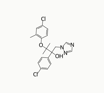 Cc1cc(Cl)ccc1OC(C)(C)C(O)(Cn1cncn1)c1ccc(Cl)cc1